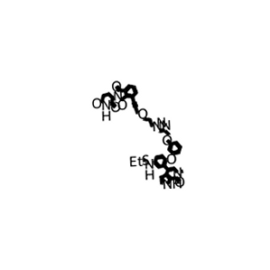 CCSNc1ccc(Oc2cccc(OCc3cn(CCCOCC#Cc4cccc5c4C(=O)N(C4CCC(=O)NC4=O)C5=O)nn3)c2)c(-c2cn(C)c(=O)c3[nH]ccc23)c1